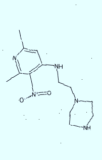 Cc1cc(NCCN2CCNCC2)c([N+](=O)[O-])c(C)n1